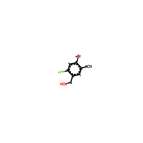 N#Cc1cc(CO)c(F)cc1Br